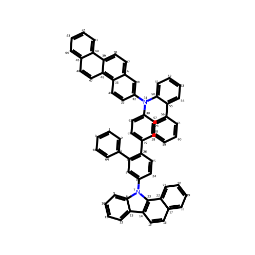 c1ccc(-c2cc(-n3c4ccccc4c4ccc5ccccc5c43)ccc2-c2ccc(N(c3ccc4c(ccc5c6ccccc6ccc45)c3)c3ccccc3-c3ccccc3)cc2)cc1